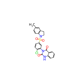 Cc1ccc2c(c1)CCN2S(=O)(=O)c1ccc(Cl)c(-n2c(=O)[nH]c3ccccc3c2=O)c1